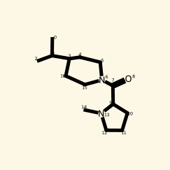 CC(C)C1CCN(C(=O)C2CCCN2C)CC1